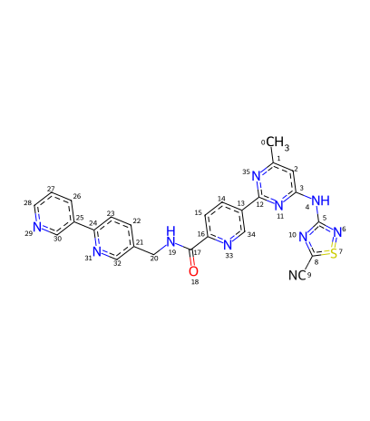 Cc1cc(Nc2nsc(C#N)n2)nc(-c2ccc(C(=O)NCc3ccc(-c4cccnc4)nc3)nc2)n1